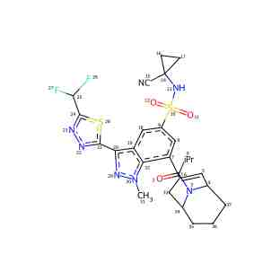 CC(C)C(=O)N1C2C=C(c3cc(S(=O)(=O)NC4(C#N)CC4)cc4c(-c5nnc(C(F)F)s5)nn(C)c34)CC1CCC2